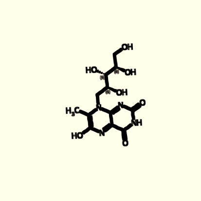 Cc1c(O)nc2c(=O)[nH]c(=O)nc-2n1C[C@H](O)[C@H](O)[C@H](O)CO